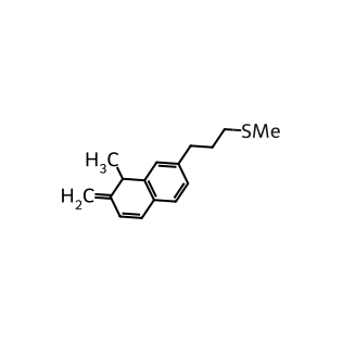 C=C1C=Cc2ccc(CCCSC)cc2C1C